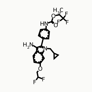 C[C@@H](OC(=O)Nc1ccc(-c2c(N)c3ccc(OCC(F)F)cc3n2CC2CC2)cc1)C(F)(F)F